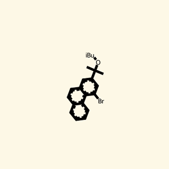 CCC(C)OC(C)(C)c1cc(Br)c2c(ccc3ccccc32)c1